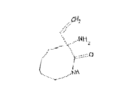 C=CC1(N)CCCCNC1=O